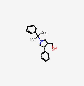 C[C@](C(=O)O)(c1ccccc1)N1C[C@@H](CO)[C@@H](c2ccccc2)C1